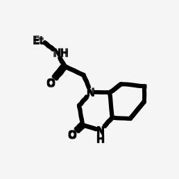 CCNC(=O)CN1CC(=O)NC2CCCCC21